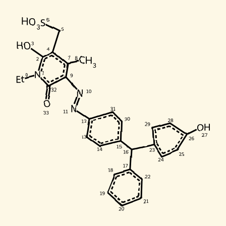 CCn1c(O)c(CS(=O)(=O)O)c(C)c(/N=N/c2ccc(C(c3ccccc3)c3ccc(O)cc3)cc2)c1=O